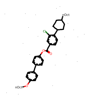 CCCCCCCCOc1ccc(-c2ccc(OC(=O)c3ccc(C4CCC(CCCCCCCC)CC4)c(Cl)c3)cc2)cc1